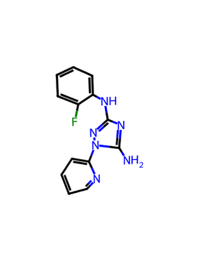 Nc1nc(Nc2ccccc2F)nn1-c1ccccn1